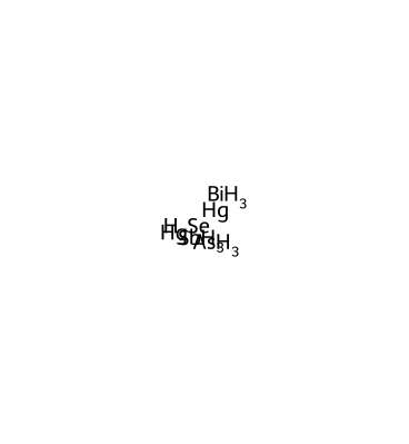 [AsH3].[BiH3].[Hg].[Hg].[SbH3].[SeH2]